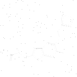 CC(C)C(=O)NCc1cc2cc(F)c(OCc3cscn3)cc2[nH]1